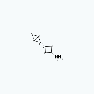 NC1CC(C2C3CC32)C1